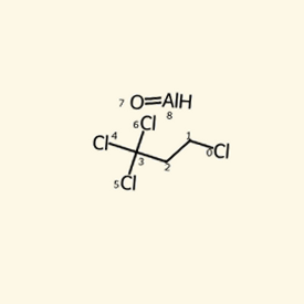 ClCCC(Cl)(Cl)Cl.[O]=[AlH]